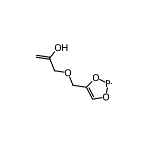 C=C(O)COCC1=CO[P]O1